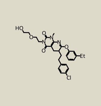 CCc1cccc(OC2=Nc3c(c(=O)n(CCOCCO)c(=O)n3C)CC2CCc2ccc(Cl)cc2)c1